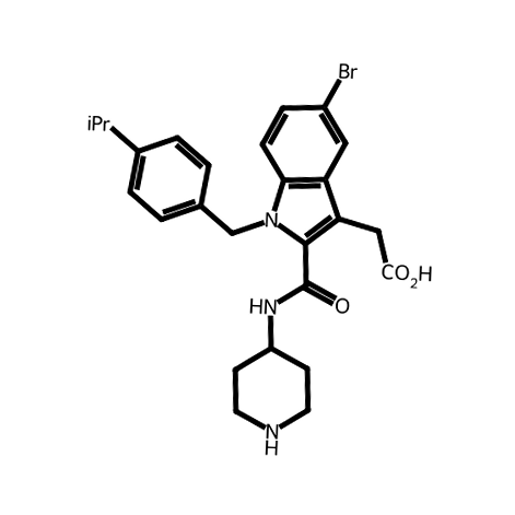 CC(C)c1ccc(Cn2c(C(=O)NC3CCNCC3)c(CC(=O)O)c3cc(Br)ccc32)cc1